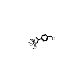 CO[Si](CC(C)c1ccc(CCl)cc1)(OC)OC